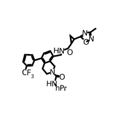 CCCNC(=O)N1CCc2c(-c3cccc(C(F)(F)F)c3)ccc(CNC(=O)C3CC3c3nc(C)no3)c2C1